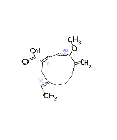 C=C1CCC/C(=C\C)C/C(C(=O)O)=C\C=C/1OC